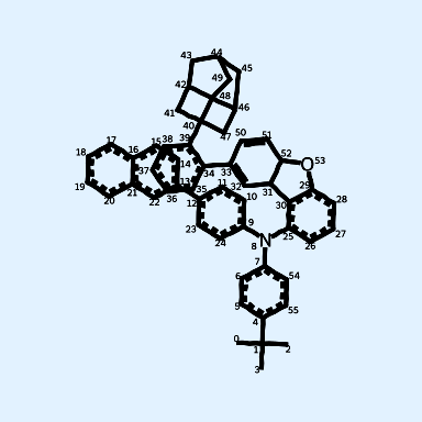 CC(C)(C)c1ccc(N(c2ccc(-c3ccc4ccccc4c3)cc2)c2cccc3c2C2C=C(c4ccccc4C45CC6CC7CC(C4)C65C7)C=CC2O3)cc1